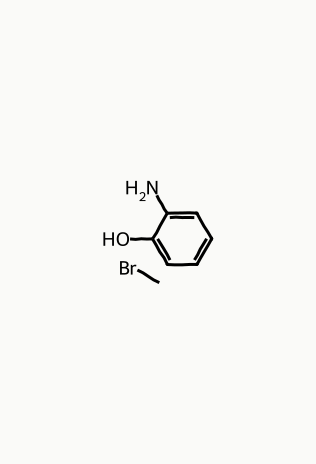 CBr.Nc1ccccc1O